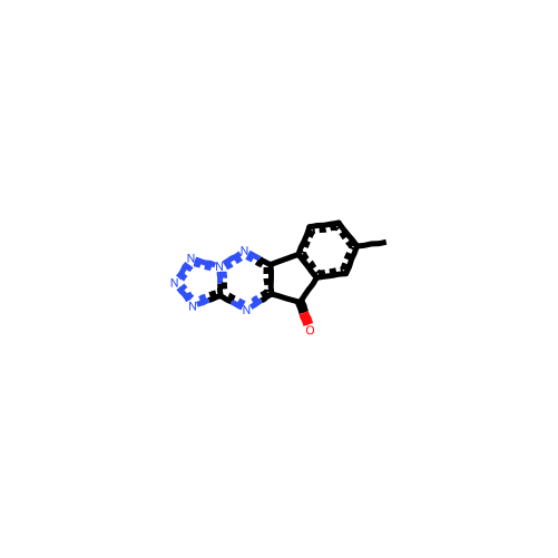 Cc1ccc2c(c1)C(=O)c1nc3nnnn3nc1-2